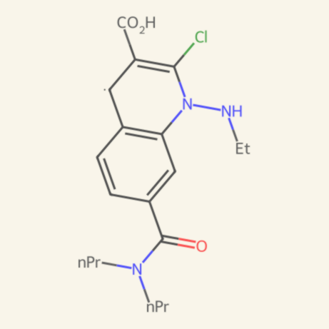 CCCN(CCC)C(=O)c1ccc2c(c1)N(NCC)C(Cl)=C(C(=O)O)[CH]2